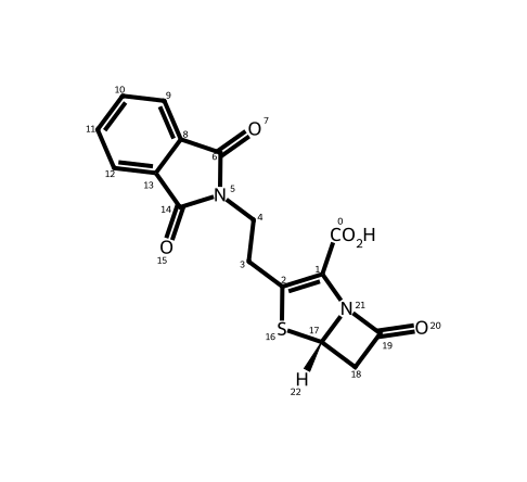 O=C(O)C1=C(CCN2C(=O)c3ccccc3C2=O)S[C@H]2CC(=O)N12